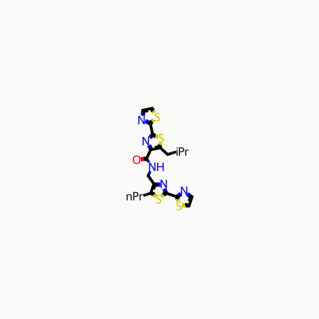 CCCc1sc(-c2nccs2)nc1CNC(=O)c1nc(-c2nccs2)sc1CC(C)C